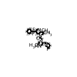 C[C@@H]1CN(CC(=O)N2CC(C)(C)c3ncc(C(F)(F)c4ccccc4)cc32)[C@@H](CN2CC[C@@H](F)C2)CN1